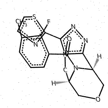 Cc1cccc(C(=O)N2[C@H]3COC[C@@H]2c2nnc(-c4nccs4)n2C3)c1F